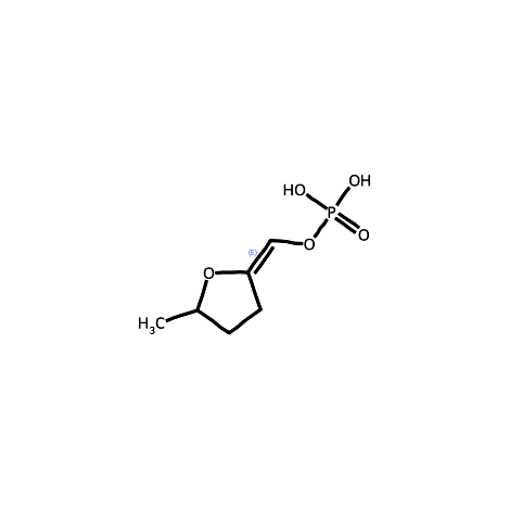 CC1CC/C(=C\OP(=O)(O)O)O1